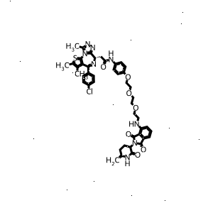 C=C1CCC(N2C(=O)c3cccc(NCCOCCOCCOc4ccc(NC(=O)C[C@@H]5N=C(c6ccc(Cl)cc6)c6c(sc(C)c6C)-n6c(C)nnc65)cc4)c3C2=O)C(=O)N1